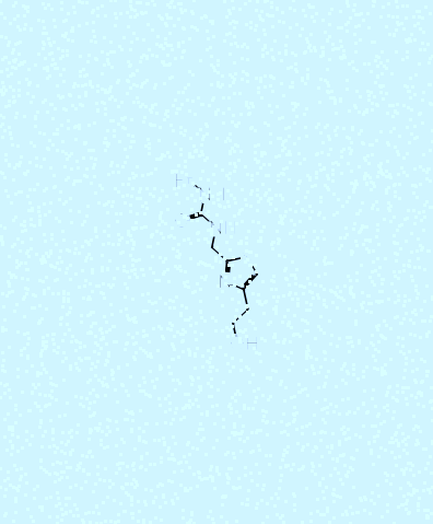 CCNC(=O)NCc1nc(CCO)cs1